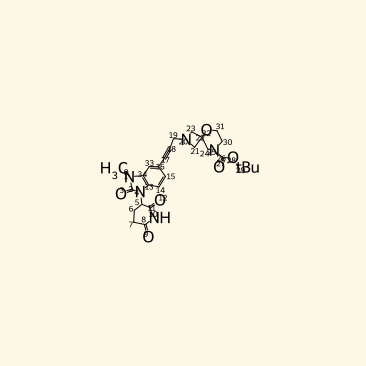 Cn1c(=O)n(C2CCC(=O)NC2=O)c2ccc(C#CCN3CC4(C3)CN(C(=O)OC(C)(C)C)CCO4)cc21